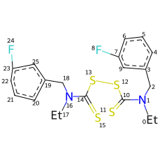 CCN(Cc1cccc(F)c1)C(=S)SSC(=S)N(CC)Cc1cccc(F)c1